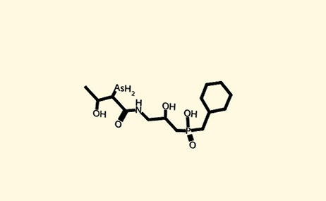 CC(O)C([AsH2])C(=O)NCC(O)CP(=O)(O)CC1CCCCC1